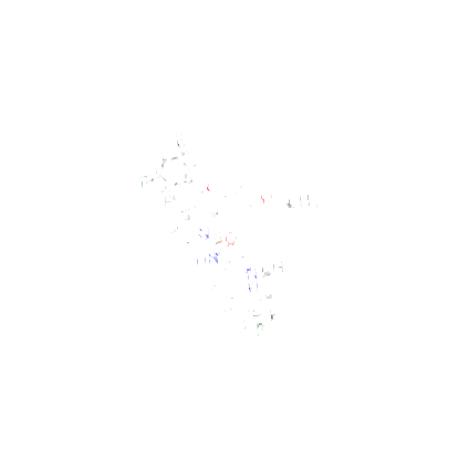 CCOCCCO[C@@H](c1cc(F)cc(F)c1F)[C@@H]1CCCN(C(=O)N[C@H](CNC)CC2CCC(F)(F)CC2)C1